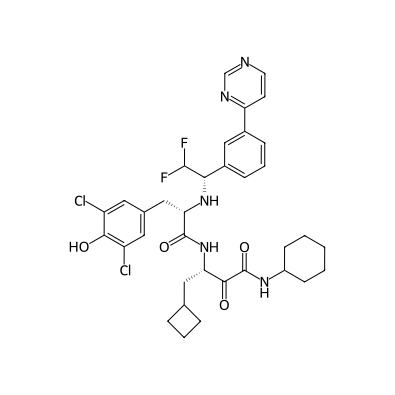 O=C(NC1CCCCC1)C(=O)[C@H](CC1CCC1)NC(=O)[C@H](Cc1cc(Cl)c(O)c(Cl)c1)N[C@@H](c1cccc(-c2ccncn2)c1)C(F)F